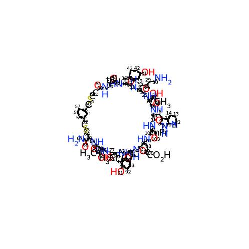 CCC[C@@H]1NC(=O)[C@H](Cc2c[nH]c3ncccc23)NC(=O)[C@H]([C@@H](C)O)NC(=O)[C@H](CCCCN)NC(=O)[C@H](Cc2ccc(O)cc2)NC(=O)[C@H](C(C)(C)C)NC(=O)CCSCc2cccc(c2)CSC[C@@H](C(N)=O)NC(=O)[C@H]([C@@H](C)O)NC(=O)C(C)(C)NC(=O)[C@H](Cc2ccc(O)cc2)NC(=O)[C@H](CCC(=O)O)NC1=O